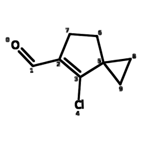 O=CC1=C(Cl)C2(CC1)CC2